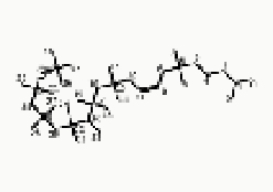 CC(C)CCCC(C)(C)C/C=C\CC(C)(C)CC(C)(C)C(C)C(C)(C)CC(C)(C)CC(C)(C)SC(C)(C)C